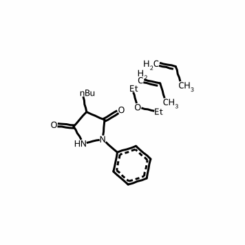 C=CC.C=CC.CCCCC1C(=O)NN(c2ccccc2)C1=O.CCOCC